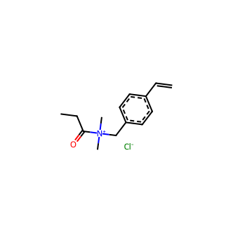 C=Cc1ccc(C[N+](C)(C)C(=O)CC)cc1.[Cl-]